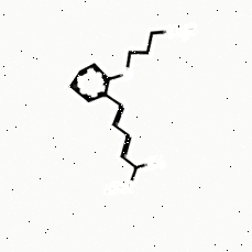 CCCCCCCCC(O)C=CC=Cc1ccccc1OCCCC(=O)O